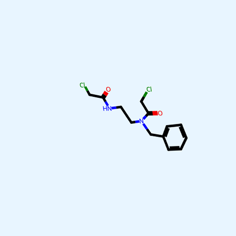 O=C(CCl)NCCN(Cc1ccccc1)C(=O)CCl